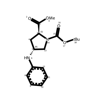 COC(=O)[C@@H]1C[C@@H](Nc2ccccc2)CN1C(=O)OC(C)(C)C